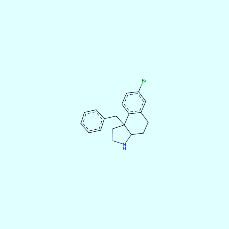 Brc1ccc2c(c1)CCC1NCCC21Cc1ccccc1